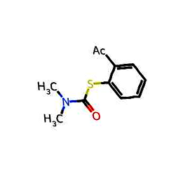 CC(=O)c1ccccc1SC(=O)N(C)C